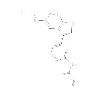 C=CC(=O)Nc1cccc(-c2c[nH]c3ncc(NC(=O)O)cc23)c1